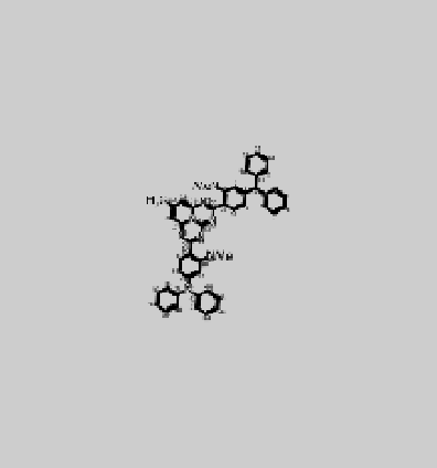 CNc1cc(C(c2ccccc2)c2ccccc2)ccc1C1=NC2=CC(C)=CC3=NC(c4ccc(N(c5ccccc5)c5ccccc5)cc4NC)=NC(=N1)N23